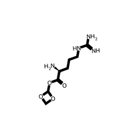 N=C(N)NCCC[C@H](N)C(=O)OC1OCO1